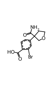 NC(=O)C1(c2ccc(C(=O)O)c(Br)c2)CCOC1